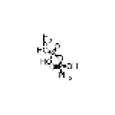 N.O=P(O)(O)OP(=O)(O)P